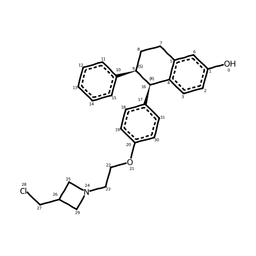 Oc1ccc2c(c1)CC[C@H](c1ccccc1)[C@@H]2c1ccc(OCCN2CC(CCl)C2)cc1